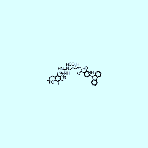 Cc1c(C)c(S(=O)(=O)NC(=N)NCCC[C@H](NC(=O)c2ccc(C3c4ccccc4-c4ccccc43)[nH]c2=O)C(=O)O)c(C)c2c1OC(C)(C)CC2